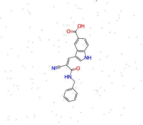 N#CC(=Cc1c[nH]c2ccc(C(=O)O)cc12)C(=O)NCc1ccccc1